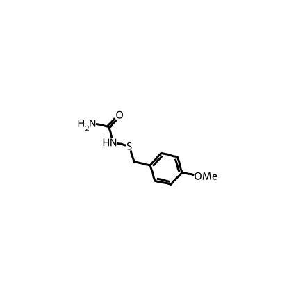 COc1ccc(CSNC(N)=O)cc1